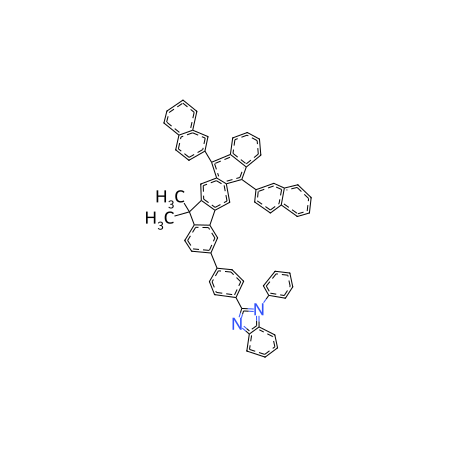 CC1(C)c2ccc(-c3ccc(-c4nc5ccccc5n4-c4ccccc4)cc3)cc2-c2cc3c(-c4ccc5ccccc5c4)c4ccccc4c(-c4ccc5ccccc5c4)c3cc21